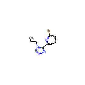 CCCn1cnnc1-c1cccc(Br)n1